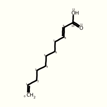 C=CCCCCCCC=CC(=O)O